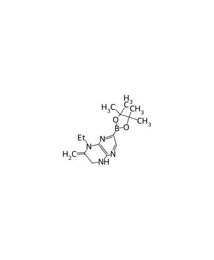 C=C1CNc2ncc(B3OC(C)(C)C(C)(C)O3)nc2N1CC